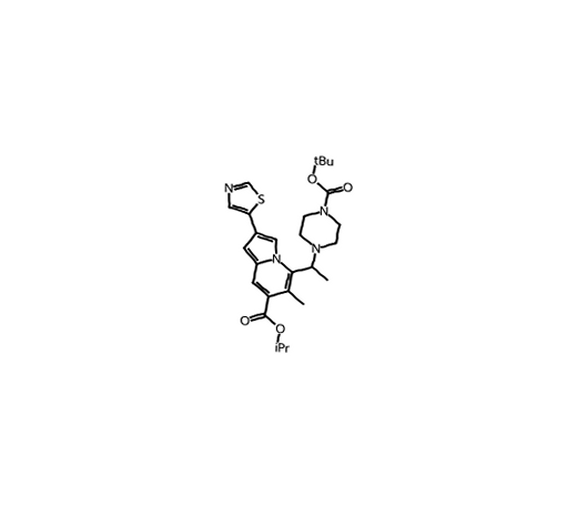 Cc1c(C(=O)OC(C)C)cc2cc(-c3cncs3)cn2c1C(C)N1CCN(C(=O)OC(C)(C)C)CC1